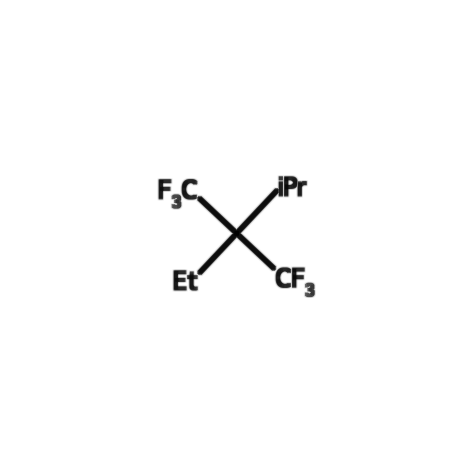 CCC(C(C)C)(C(F)(F)F)C(F)(F)F